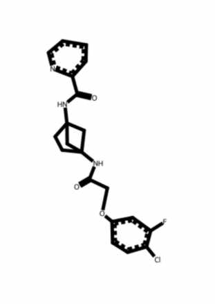 O=C(COc1ccc(Cl)c(F)c1)NC12CCC(NC(=O)c3ccccn3)(C1)C2